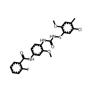 COc1cc(NC(=O)c2ccccc2F)ccc1NC(=O)NSc1cc(Cl)c(C)cc1OC